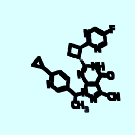 CC(c1ccc(C2CC2)nc1)n1nc(C#N)c2c(=O)[nH]c([C@@H]3CC[C@H]3c3ncc(F)cn3)nc21